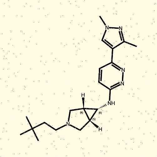 Cc1nn(C)cc1-c1ccc(N[C@@H]2[C@@H]3CN(CCC(C)(C)C)C[C@@H]32)nn1